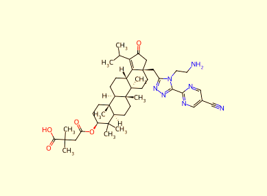 CC(C)C1=C2[C@H]3CC[C@@H]4[C@@]5(C)CC[C@H](OC(=O)CC(C)(C)C(=O)O)C(C)(C)[C@@H]5CC[C@@]4(C)[C@]3(C)CC[C@@]2(Cc2nnc(-c3ncc(C#N)cn3)n2CCN)CC1=O